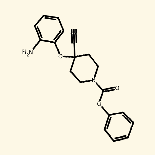 C#CC1(Oc2ccccc2N)CCN(C(=O)Oc2ccccc2)CC1